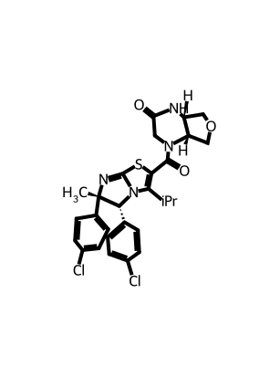 CC(C)C1=C(C(=O)N2CC(=O)N[C@@H]3COC[C@@H]32)SC2=N[C@@](C)(c3ccc(Cl)cc3)[C@@H](c3ccc(Cl)cc3)N21